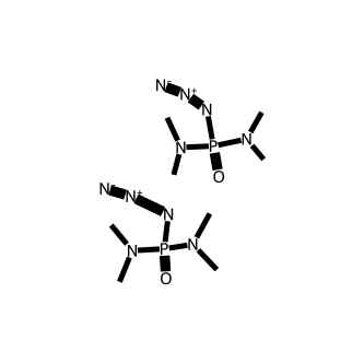 CN(C)P(=O)(N=[N+]=[N-])N(C)C.CN(C)P(=O)(N=[N+]=[N-])N(C)C